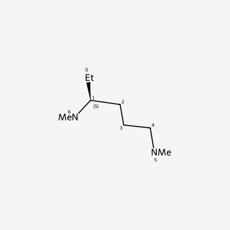 CC[C@@H](CCCNC)NC